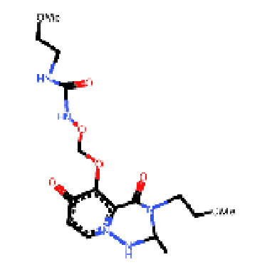 COCCNC(=O)NOCOc1c2n(ccc1=O)NC(C)N(CCOC)C2=O